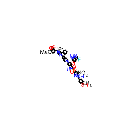 COc1ccc(CN2CCN(C3CC4(CCN(c5ccc(C(=O)NS(=O)(=O)c6cnc(NCC7CCC(C)(O)CC7)c([N+](=O)[O-])c6)c(Oc6cnc7[nH]cc(F)c7c6)c5)CC4)C3)[C@H](c3ccccc3C(C)C)C2)c2c1OCO2